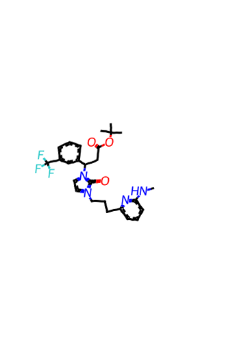 CNc1cccc(CCCn2ccn(C(CC(=O)OC(C)(C)C)c3cccc(C(F)(F)F)c3)c2=O)n1